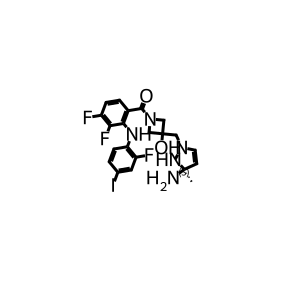 C[C@@]1(N)C=CN(CC2(O)CN(C(=O)c3ccc(F)c(F)c3Nc3ccc(I)cc3F)C2)N1